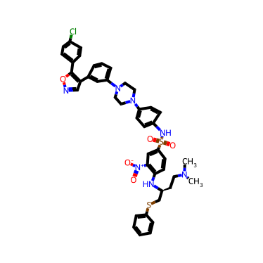 CN(C)CC[C@@H](CSc1ccccc1)Nc1ccc(S(=O)(=O)Nc2ccc(N3CCN(c4cccc(-c5cnoc5-c5ccc(Cl)cc5)c4)CC3)cc2)cc1[N+](=O)[O-]